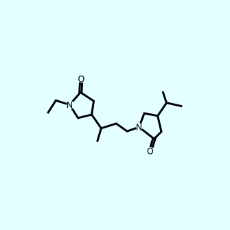 CCN1CC(C(C)CCN2CC(C(C)C)CC2=O)CC1=O